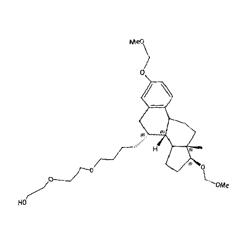 COCOc1ccc2c(c1)C[C@@H](CCCCOCCOCCO)[C@@H]1C2CC[C@@]2(C)C1CC[C@@H]2OCOC